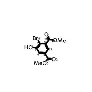 COC(=O)c1cc(O)c(Br)c(C(=O)OC)c1